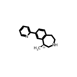 C[C@@H]1CNCCc2ccc(-c3ccccn3)cc21